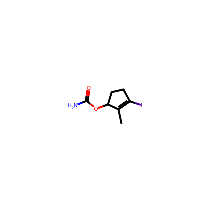 CC1=C(I)CCC1OC(N)=O